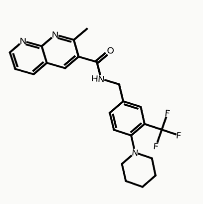 Cc1nc2ncccc2cc1C(=O)NCc1ccc(N2CCCCC2)c(C(F)(F)F)c1